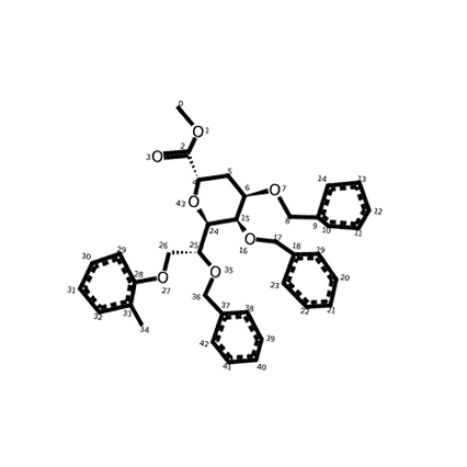 COC(=O)[C@@H]1C[C@@H](OCc2ccccc2)[C@@H](OCc2ccccc2)[C@@H]([C@@H](COc2ccccc2C)OCc2ccccc2)O1